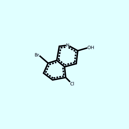 Oc1cc2c(Cl)ccc(Br)c2cn1